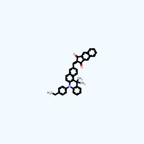 CCc1ccc(N2c3ccccc3C(C)(C)c3c2ccc2cc(C=C4C(=O)c5cc6ccccc6cc5C4=O)ccc32)cc1